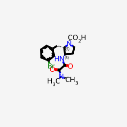 CN(C)C(=O)C(=O)N[C@H]1CCN(C(=O)O)[C@H]1Cc1cccc(Br)c1